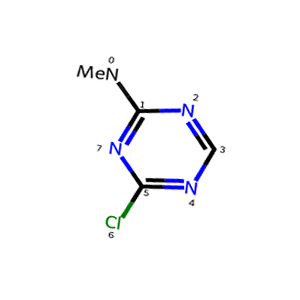 CNc1n[c]nc(Cl)n1